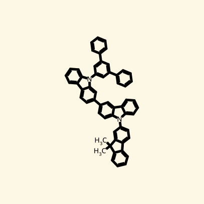 CC1(C)c2ccccc2-c2ccc(-n3c4ccccc4c4cc(-c5ccc6c7ccccc7n(-c7cc(-c8ccccc8)cc(-c8ccccc8)c7)c6c5)ccc43)cc21